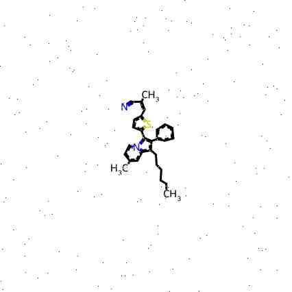 CCCCCCc1c(-c2ccccc2)c(-c2ccc(/C=C(/C)C#N)s2)n2ccc(C)cc12